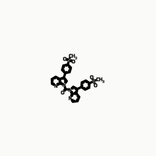 CS(=O)(=O)c1ccc(-c2cn(C(=O)n3cc(-c4ccc(S(C)(=O)=O)cc4)c4cccnc43)c3ncccc23)cc1